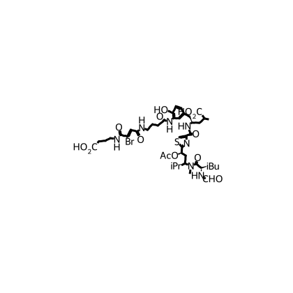 CC[C@H](C)[C@H](NC=O)C(=O)N(C)C(C[C@@H](OC(C)=O)c1nc(C(=O)N[C@@H](Cc2ccc(O)c(NC(=O)CCCNC(=O)/C=C(\Br)C(=O)NCCCC(=O)O)c2)CC(C)C(=O)O)cs1)C(C)C